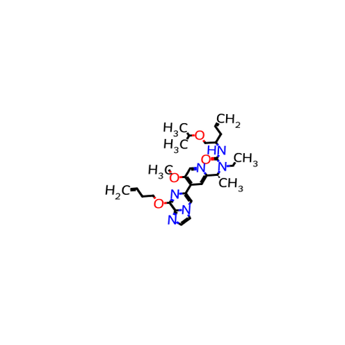 C=CCCOc1nc(-c2cc([C@@H](C)N(CC)C(=O)NC(CC=C)COC(C)C)ncc2OC)cn2ccnc12